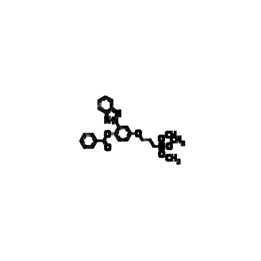 CO[Si](CCCOc1ccc(OC(=O)c2ccccc2)c(-n2nc3ccccc3n2)c1)(OC)OC